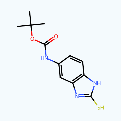 CC(C)(C)OC(=O)Nc1ccc2[nH]c(S)nc2c1